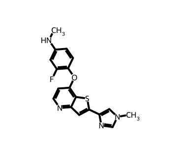 CNc1ccc(Oc2ccnc3cc(-c4cn(C)cn4)sc23)c(F)c1